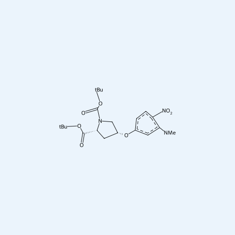 CNc1cc(O[C@@H]2C[C@H](C(=O)OC(C)(C)C)N(C(=O)OC(C)(C)C)C2)ccc1[N+](=O)[O-]